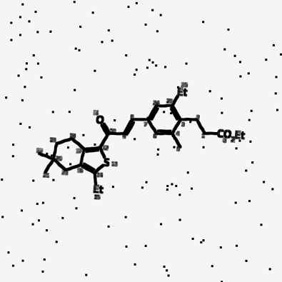 CCOC(=O)CCc1c(C)cc(/C=C/C(=O)c2sc(CC)c3c2CCC(C)(C)C3)cc1CC